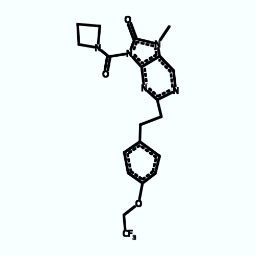 Cn1c(=O)n(C(=O)N2CCC2)c2nc(CCc3ccc(OCC(F)(F)F)cc3)ncc21